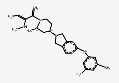 C=C(/C(=C/N)NC)N1CC[C@@H](N2Cc3cnc(Nc4cc(C)cc(C)c4)nc3C2)C[C@H]1C